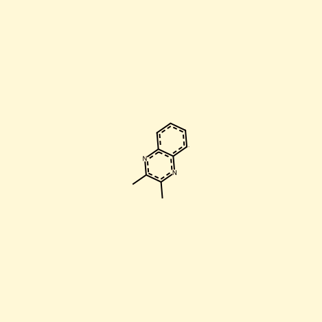 Cc1nc2[c]cccc2nc1C